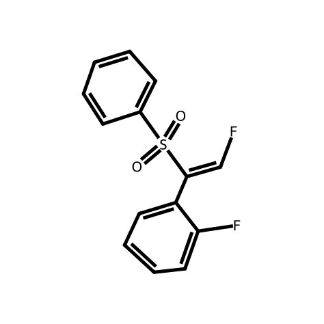 O=S(=O)(C(=CF)c1ccccc1F)c1ccccc1